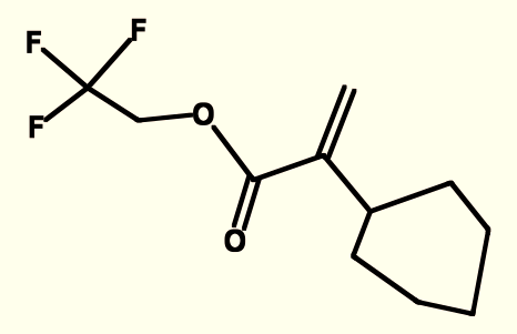 C=C(C(=O)OCC(F)(F)F)C1CCCCC1